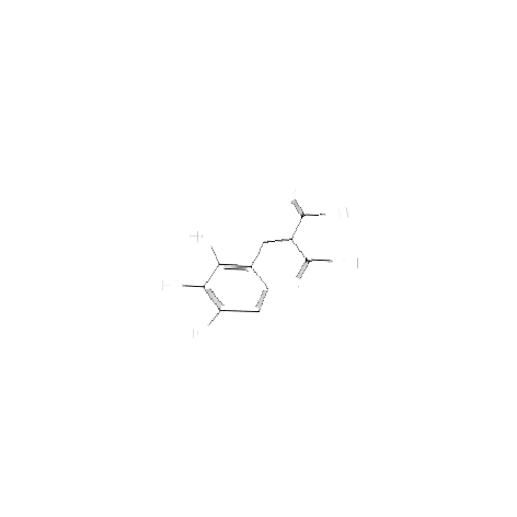 O=C(O)C(Cc1ccc(O)c(O)c1O)C(=O)O